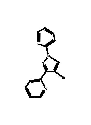 Brc1cn(-c2ccccn2)nc1-c1ccccn1